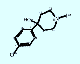 OC1(c2ccc(Cl)cc2)CCN(I)CC1